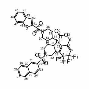 O=C1OCC2=CC(F)(F)C(F)(F)C=C2[N+]1(C1CCN(S(=O)(=O)c2ccc3ccccc3c2)CC1)C1CCN(S(=O)(=O)c2cc3ccccc3s2)CC1